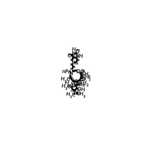 CCCN1C[C@H](C)C[C@@](C)(OC)[C@H](O[C@@H]2O[C@H](C)C[C@H](N(C)C)[C@H]2O)[C@@H](C)C(=O)C(C)(C)C(=O)OC[C@H]1CCCN1CCc2[nH]c(=O)[nH]c(=O)c2C1